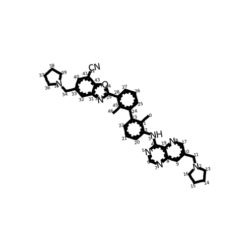 Cc1c(Nc2ncnc3cc(CN4CCCC4)cnc23)cccc1-c1cccc(-c2nc3cc(CN4CCCC4)cc(C#N)c3o2)c1C